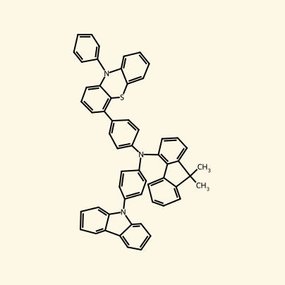 CC1(C)c2ccccc2-c2c(N(c3ccc(-c4cccc5c4Sc4ccccc4N5c4ccccc4)cc3)c3ccc(-n4c5ccccc5c5ccccc54)cc3)cccc21